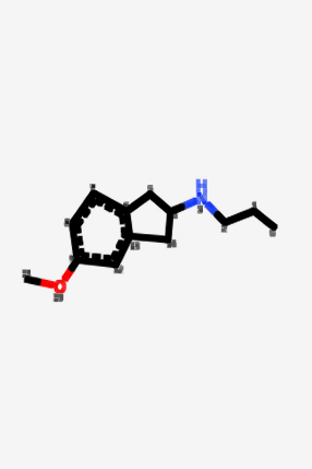 CCCNC1Cc2ccc(OC)cc2C1